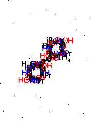 CC(C)C[C@@H]1NC(=O)[C@H]2C[C@@H](O)CNN2C(=O)[C@H](C(C)C)OC(=O)[C@@H](C(C)C)NC(=O)[C@@H]2C[C@@]3(O)c4cc(-c5ccc6c(c5)[C@]5(O)C[C@H]7C(=O)N[C@H](C(C)C)C(=O)O[C@@H](C(C)C)C(=O)N8NC[C@H](O)C[C@@H]8C(=O)N[C@@H](CC(C)C)C(=O)N[C@H]([C@H](C)O)C(=O)N7[C@@H]5N6)ccc4N[C@H]3N2C(=O)[C@@H]([C@H](C)O)NC1=O